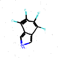 Fc1c(F)c(F)c2c[nH]cc2c1F